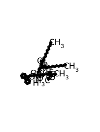 CCCCCCCCCCCC(=O)OC[C@H](CSC[C@H](NC(=O)OCC1c2ccccc2-c2ccccc21)C(=O)NCCCC(F)(F)P(=O)(OCC)OCC)OC(=O)CCCCCCCCCCC